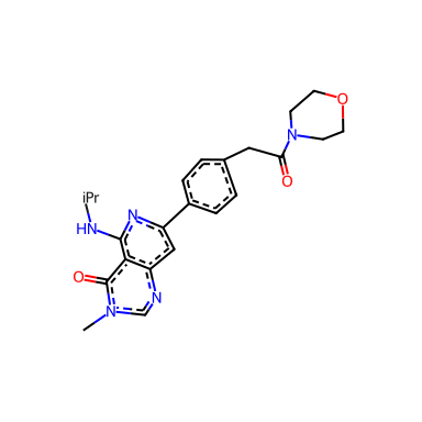 CC(C)Nc1nc(-c2ccc(CC(=O)N3CCOCC3)cc2)cc2ncn(C)c(=O)c12